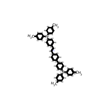 CC1=CC=C(N(c2ccc(C)cc2)c2ccc(/C=C/c3ccc(-c4ccc(N(c5ccc(C)cc5)c5ccc(C)cc5)cc4)cc3)cc2)CC1